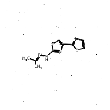 CC(C)=NNc1nc(-c2nccs2)cs1